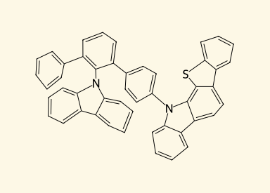 c1ccc(-c2cccc(-c3ccc(-n4c5ccccc5c5ccc6c7ccccc7sc6c54)cc3)c2-n2c3ccccc3c3ccccc32)cc1